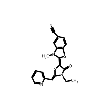 CCn1c(=O)/c(=C2\Sc3ccc(C#N)cc3N2C)s/c1=C\c1ccccn1